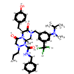 CCCN1CC(=O)N2[C@@H](Cc3ccc(O)cc3)C(=O)N(Cc3cc(N(C)C(C)C)cc(C(F)(F)F)c3)C[C@@H]2N1C(=O)NCc1ccccc1